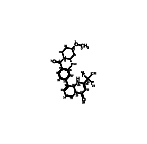 COC1CCN(C(=O)c2ccc(C3=CC=CN4C(=O)C=C(C(F)(F)F)NC34)cc2F)CC1